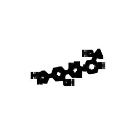 Oc1cc(-c2cn[nH]c2)ccc1-c1cnc(N2CCNC(C3(O)CC3)C2)nn1